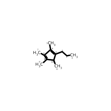 CCCC1=C(C)C(C)=C(C)[C]1C